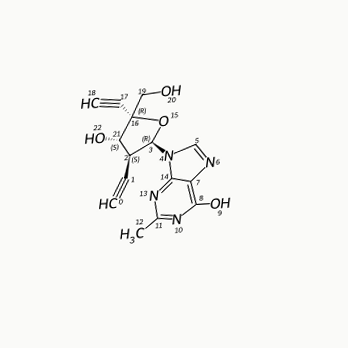 C#C[C@@H]1[C@H](n2cnc3c(O)nc(C)nc32)O[C@](C#C)(CO)[C@H]1O